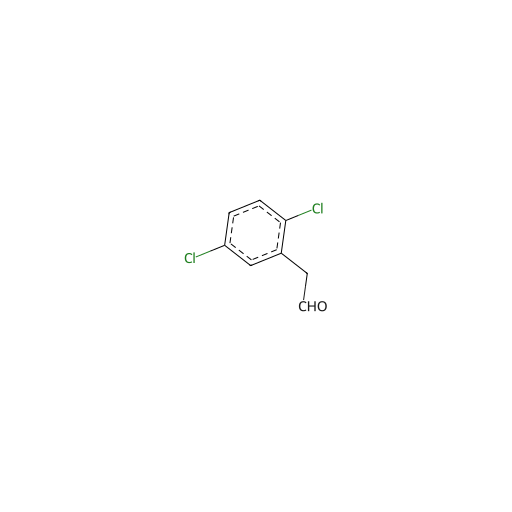 O=CCc1cc(Cl)ccc1Cl